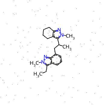 CCc1c2cccc(CC(C)c3c4c(nn3C)CCCC4)c2nn1C